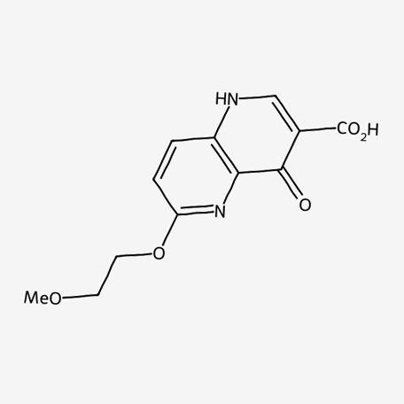 COCCOc1ccc2[nH]cc(C(=O)O)c(=O)c2n1